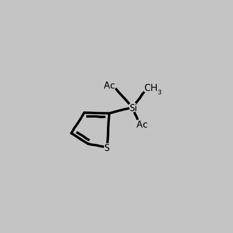 CC(=O)[Si](C)(C(C)=O)c1cccs1